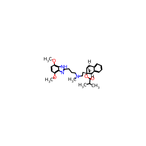 COc1ccc(OC)c2[nH]c(CCCN(C)CC[C@@]3(OC(=O)C(C)C)C[C@@H]4CCC[C@H]3c3ccccc34)nc12